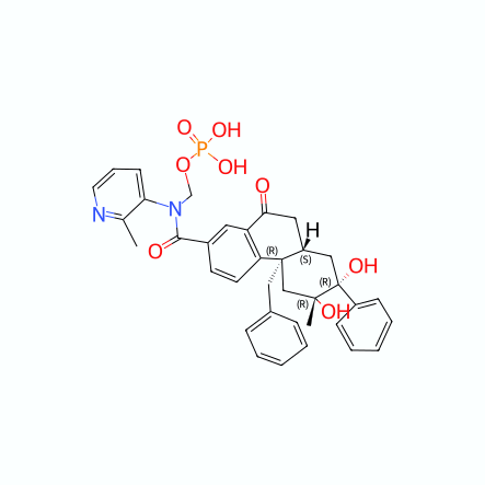 Cc1ncccc1N(COP(=O)(O)O)C(=O)c1ccc2c(c1)C(=O)C[C@@H]1C[C@@](O)(c3ccccc3)[C@](C)(O)C[C@@]21Cc1ccccc1